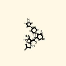 NC1NN2CC(F)CNC2C1C(=O)NC1CNCC(F)C1N1CCC(N2CCNC2)CC1